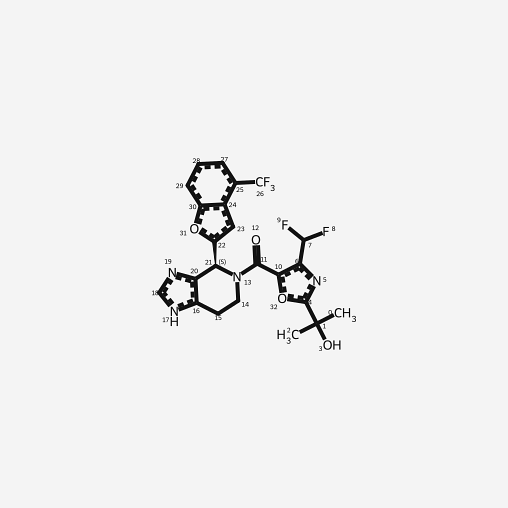 CC(C)(O)c1nc(C(F)F)c(C(=O)N2CCc3[nH]cnc3[C@H]2c2cc3c(C(F)(F)F)cccc3o2)o1